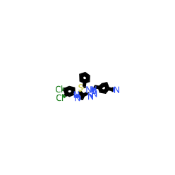 N#Cc1ccc(Cn2nnc(-c3cnn(-c4ccc(Cl)c(Cl)c4)c3SCc3ccccc3)n2)cc1